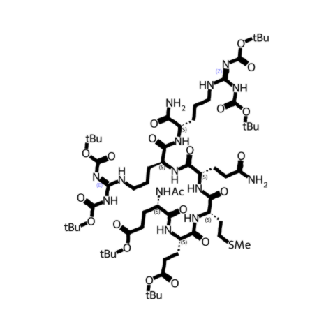 CSCC[C@H](NC(=O)[C@H](CCC(=O)OC(C)(C)C)NC(=O)[C@H](CCC(=O)OC(C)(C)C)NC(C)=O)C(=O)N[C@@H](CCC(N)=O)C(=O)N[C@@H](CCCN/C(=N\C(=O)OC(C)(C)C)NC(=O)OC(C)(C)C)C(=O)N[C@@H](CCCN/C(=N/C(=O)OC(C)(C)C)NC(=O)OC(C)(C)C)C(N)=O